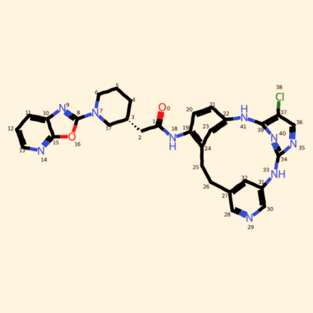 O=C(C[C@H]1CCCN(c2nc3cccnc3o2)C1)Nc1ccc2cc1CCc1cncc(c1)Nc1ncc(Cl)c(n1)N2